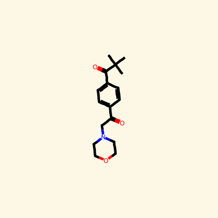 CC(C)(C)C(=O)c1ccc(C(=O)CN2CCOCC2)cc1